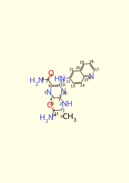 C[C@@H](Nc1cnc(C(N)=O)c(Nc2ccc3ncccc3c2)n1)C(N)=O